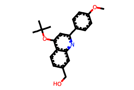 COc1ccc(-c2cc(OC(C)(C)C)c3ccc(CO)cc3n2)cc1